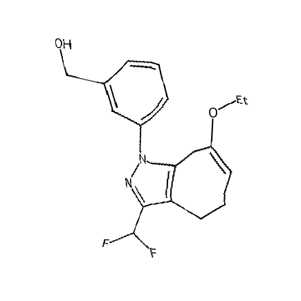 CCOC1=CCCc2c(C(F)F)nn(-c3cccc(CO)c3)c21